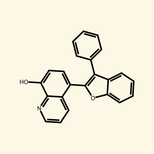 Oc1ccc(-c2oc3ccccc3c2-c2ccccc2)c2cccnc12